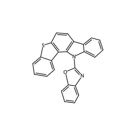 c1ccc2oc(-n3c4ccccc4c4ccc5sc6ccccc6c5c43)nc2c1